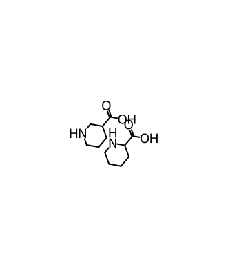 O=C(O)C1CCCCN1.O=C(O)C1CCCNC1